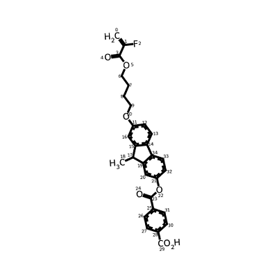 C=C(F)C(=O)OCCCCOc1ccc2c(c1)C(C)c1cc(OC(=O)c3ccc(C(=O)O)cc3)ccc1-2